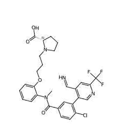 CN(C(=O)c1ccc(Cl)c(-c2cnc(C(F)(F)F)cc2C=N)c1)c1ccccc1OCCCN1CCC[C@H]1C(=O)O